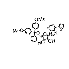 COc1ccc(C(OC[C@H]2O[C@@H](n3cnc4c(-c5cccs5)ccnc43)[C@H](O)[C@@H]2O)(c2ccccc2)c2ccc(OC)cc2)cc1